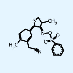 CC1=CCC(=C2SCC(C)C2=NOS(=O)(=O)c2ccccc2)C=C1CC#N